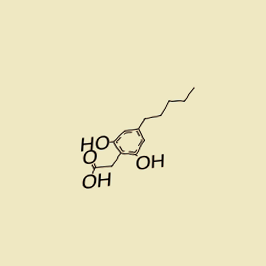 CCCCCc1cc(O)c(CC(=O)O)c(O)c1